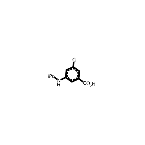 CC(C)Nc1cc(Cl)cc(C(=O)O)c1